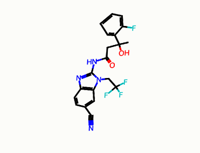 CC(O)(CC(=O)Nc1nc2ccc(C#N)cc2n1CC(F)(F)F)c1ccccc1F